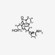 Nc1ccccc1.O=C1OC(c2ccc(O)cc2)(c2ccc(O)cc2)c2ccccc21